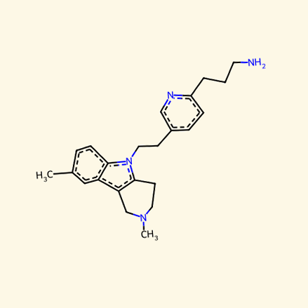 Cc1ccc2c(c1)c1c(n2CCc2ccc(CCCN)nc2)CCN(C)C1